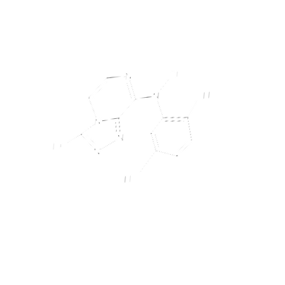 CCN(c1cc(O)ccc1C)c1nccn2c(C)nnc12